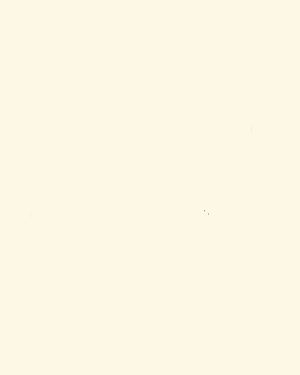 O=C(O)Cc1cn(Cc2cccc(Oc3ccc(F)c(F)c3)c2)c2ccccc12